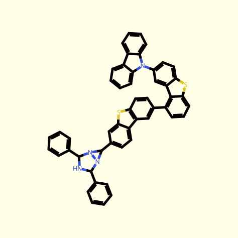 c1ccc(C2NC(c3ccccc3)N3C(c4ccc5c(c4)sc4ccc(-c6cccc7sc8ccc(-n9c%10ccccc%10c%10ccccc%109)cc8c67)cc45)N23)cc1